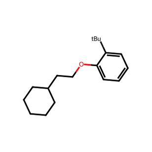 CC(C)(C)c1ccccc1OCCC1CCCCC1